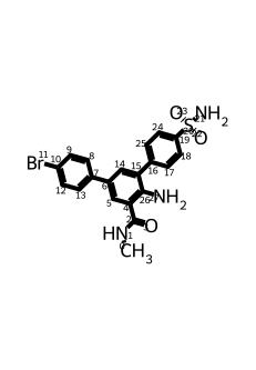 CNC(=O)c1cc(-c2ccc(Br)cc2)cc(-c2ccc(S(N)(=O)=O)cc2)c1N